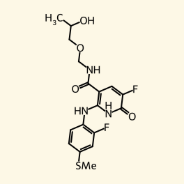 CSc1ccc(Nc2[nH]c(=O)c(F)cc2C(=O)NCOCC(C)O)c(F)c1